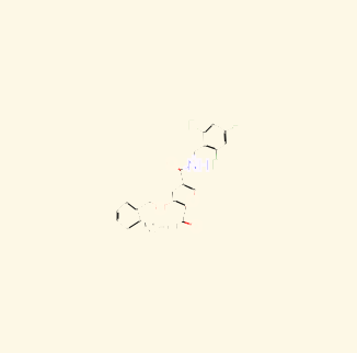 COC(=O)C1=C(OCc2ccccc2)CC(C(=O)NCc2c(F)cc(F)cc2F)=CO1